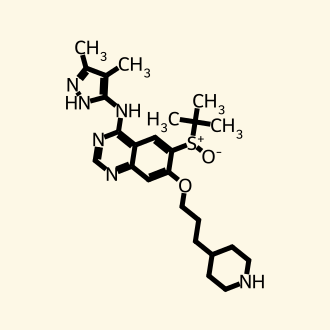 Cc1n[nH]c(Nc2ncnc3cc(OCCCC4CCNCC4)c([S+]([O-])C(C)(C)C)cc23)c1C